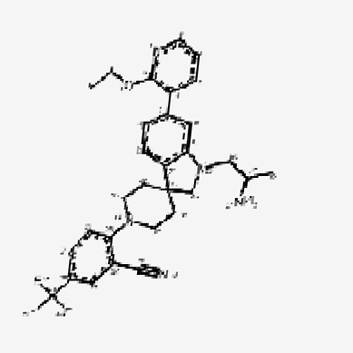 CCOc1ncccc1-c1ccc2c(c1)N(CC(C)N)CC21CCN(c2ccc(C(F)(F)F)cc2C#N)CC1